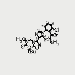 CN(CN1CON=C1c1ncn2c1CN(C)C(=O)c1c(Cl)cccc1-2)C(=O)OC(C)(C)C